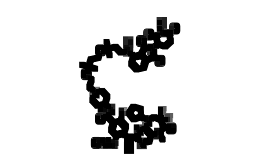 COc1cc(C(=O)NC2CCN(CCOC(C)(C)CCOC(C)(C)CCNc3cccc4c3C(=O)N(C3CCC(=O)NC3=O)C4=O)CC2)c(F)cc1Nc1ncc2c(n1)N(C1CCCC1)CC(F)(F)C(=O)N2C